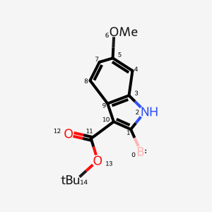 [B]c1[nH]c2cc(OC)ccc2c1C(=O)OC(C)(C)C